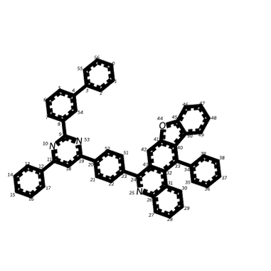 c1ccc(-c2cccc(-c3nc(-c4ccccc4)cc(-c4ccc(-c5nc6ccccc6c6c(-c7ccccc7)c7c(cc56)oc5ccccc57)cc4)n3)c2)cc1